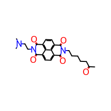 CC(=O)CCCCCN1C(=O)c2ccc3c4c(ccc(c24)C1=O)C(=O)N(CCN(C)C)C3=O